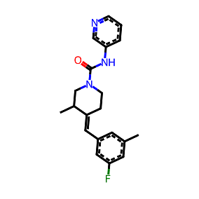 Cc1cc(F)cc(C=C2CCN(C(=O)Nc3cccnc3)CC2C)c1